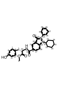 COC(=O)[C@H](Cc1ccc(O)cc1)NC(=O)c1ccc2c(c1)c(=O)n(-c1ccccc1)n2C1CCCCC1